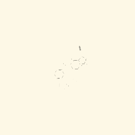 C#Cc1cnn2ccc(N(C)c3cc(F)ccc3CC3C(C)C3(C)N)nc12